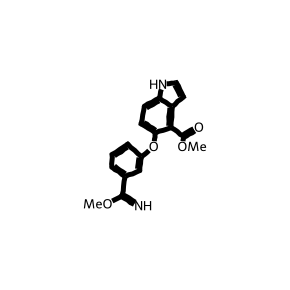 COC(=N)c1cccc(Oc2ccc3[nH]ccc3c2C(=O)OC)c1